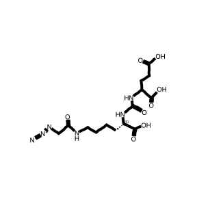 [N-]=[N+]=NCC(=O)NCCCC[C@H](NC(=O)NC(CCC(=O)O)C(=O)O)C(=O)O